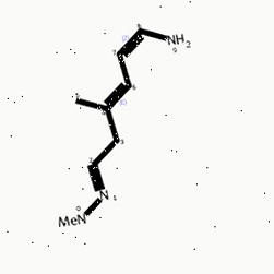 CNN=CC/C(C)=C/C=C\N